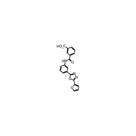 O=C(O)c1cccc(C(=O)Nc2cccc(-c3nnc(-c4ccco4)o3)c2)c1